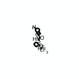 CN(C)c1ccc2cc(C(=O)NSc3ccccc3OC(F)(F)C(F)(F)F)oc2c1